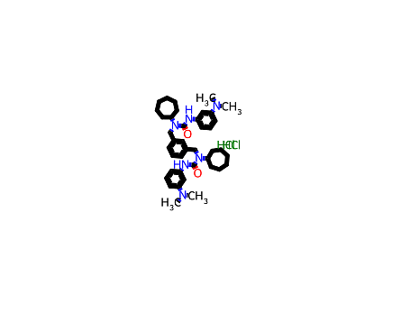 CN(C)c1cccc(NC(=O)N(Cc2cccc(CN(C(=O)Nc3cccc(N(C)C)c3)C3CCCCCC3)c2)C2CCCCCC2)c1.Cl.Cl